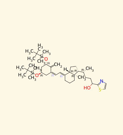 C=C1/C(=C\C=C2/CCC[C@]3(C)[C@@H]([C@H](C)CCC(O)c4nccs4)CC[C@@H]23)C[C@@H](O[Si](C)(C)C(C)(C)C)C[C@@H]1O[Si](C)(C)C(C)(C)C